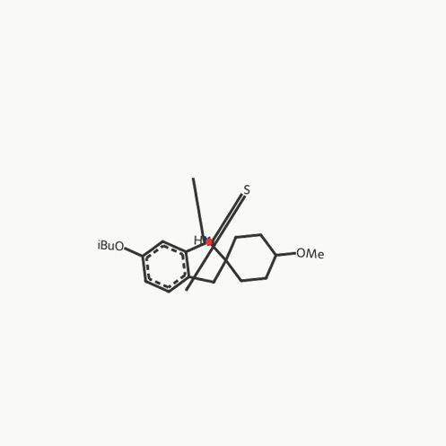 COC1CCC2(CC1)Cc1ccc(OCC(C)C)cc1C21N=C(C)C(=S)N1